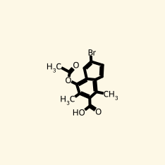 CC(=O)Oc1c(C)c(C(=O)O)c(C)c2ccc(Br)cc12